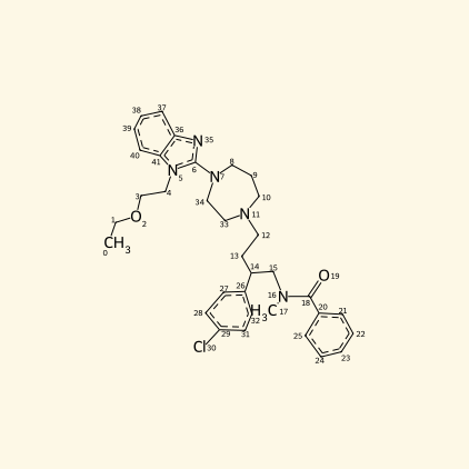 CCOCCn1c(N2CCCN(CCC(CN(C)C(=O)c3ccccc3)c3ccc(Cl)cc3)CC2)nc2ccccc21